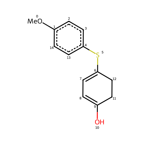 COc1ccc(SC2=CC=C(O)CC2)cc1